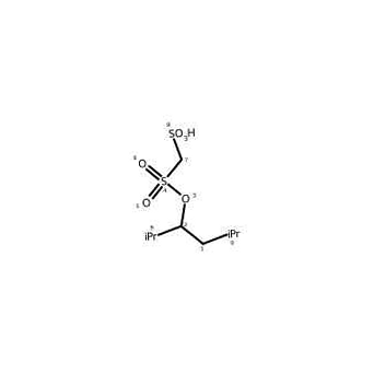 CC(C)CC(OS(=O)(=O)CS(=O)(=O)O)C(C)C